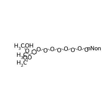 C=CC(=O)OC(c1ccc(OCCOCCOCCOCCOCCOCCOCCOCCCCCCCCC)cc1)C(C)OCC(C)O